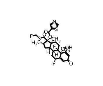 C[C@@H]1C[C@H]2[C@@H]3C[C@H](F)C4=CC(=O)C=C(O)[C@]4(C)[C@@]3(F)CC[C@]2(C)[C@@]1(OC(=O)c1cncs1)C(=O)SCF